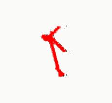 COCCOCCOCCOCCNC(=O)CCOCC(COCCC(=O)CCCOCCOCCOCCOCCOCCOCCOCCOCCOCCOCCOCCOCCC(=O)CCc1ccc(COc2nc(N)nc3[nH]cnc23)cc1)(COCCC(=O)NCCOCCOCCOCCOCCOCCOCCOCCOC)NC(=O)CCCn1c2cc(=[N+](C)C)ccc-2cc2ccc(N(C)C)cc21